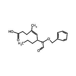 CCCC(C=C(C)CCC(=O)O)N(C=O)OCc1ccccc1